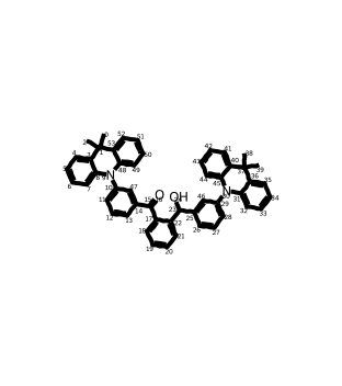 CC1(C)c2ccccc2N(c2cccc(C(=O)c3ccccc3C(O)c3cccc(N4c5ccccc5C(C)(C)c5ccccc54)c3)c2)c2ccccc21